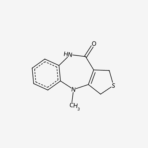 CN1C2=C(CSC2)C(=O)Nc2ccccc21